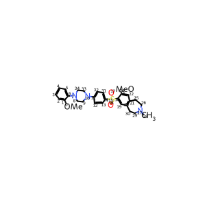 COc1ccccc1N1CCN(c2ccc(S(=O)(=O)c3cc4c(cc3OC)CCN(C)CC4)cc2)CC1